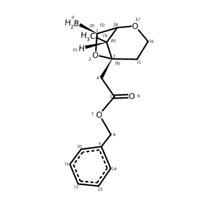 B[C@@H]1O[C@@]2(CC(=O)OCc3ccccc3)CCOC1[C@H]2C